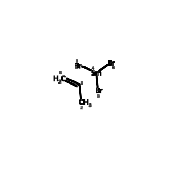 C=CC.[Br][Sm]([Br])[Br]